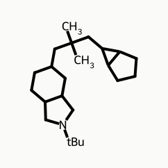 CC(C)(CC1CCC2CN(C(C)(C)C)CC2C1)CC1C2CCCC21